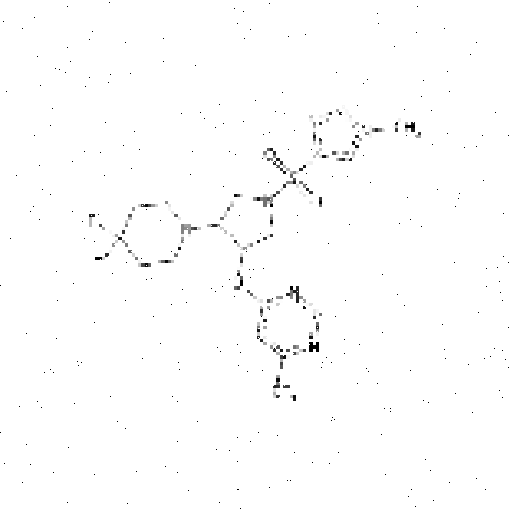 Cn1cnc(S(=O)(=O)N2CC(Oc3cc(C(F)(F)F)ncn3)C(N3CCC(F)(F)CC3)C2)c1